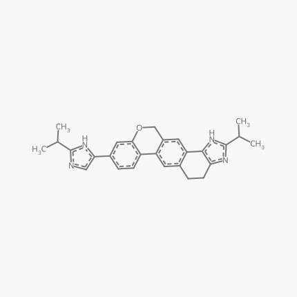 CC(C)c1ncc(-c2ccc3c(c2)OCc2cc4c(cc2-3)CCc2nc(C(C)C)[nH]c2-4)[nH]1